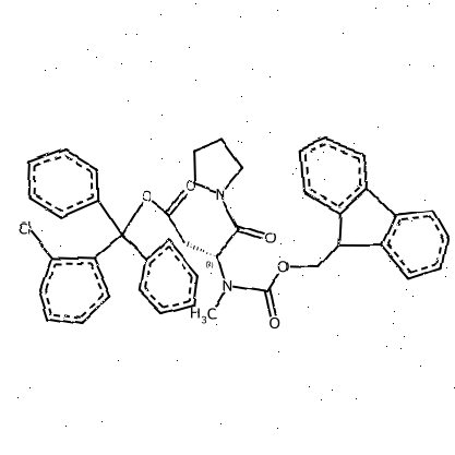 CN(C(=O)OCC1c2ccccc2-c2ccccc21)[C@H](CC(=O)OC(c1ccccc1)(c1ccccc1)c1ccccc1Cl)C(=O)N1CCCC1